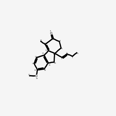 CC/C=C/C12CCC(=O)C(C)=C1c1ccc(OC)cc1C2